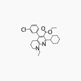 CCOC(=O)c1c(C2CCCCC2)nc2c(c1-c1cccc(Cl)c1)CCCN2CC